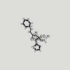 N[C@@](Cc1cccs1)(NC(CCc1ccccc1)C(=O)O)C(=O)O